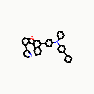 c1ccc(-c2ccc(N(c3ccccc3)c3ccc(-c4cc5oc6cccc(-c7cccnc7)c6c5c5ccccc45)cc3)cc2)cc1